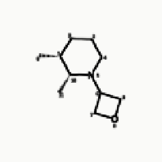 C[C@@H]1CCCN(C2COC2)[C@@H]1C